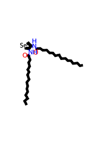 CCCCCCCCCCCCCCCC(=O)Nc1c[se]cc1NC(=O)CCCCCCCCCCCCCCC